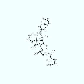 O=C(NC1(C(=O)N2CCC3C2C(=O)CN3C(=O)c2ccccn2)CCCCC1)Oc1cc2sccc2s1